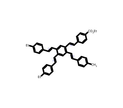 CCOC(=O)c1ccc(/C=C/c2cc(/C=C/c3ccc(CC)cc3)c(/C=C/c3ccc(CC)cc3)cc2/C=C/c2ccc(C)cc2)cc1